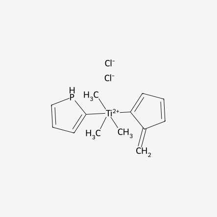 C=C1C=CC=[C]1[Ti+2]([CH3])([CH3])([CH3])[c]1ccc[pH]1.[Cl-].[Cl-]